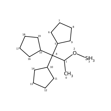 CC(O[SiH3])C(C1CCCC1)(C1CCCC1)C1CCCC1